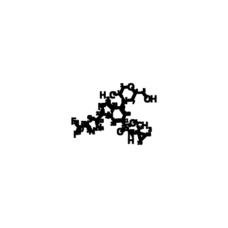 C[C@H]1CO[C@@H](CO)CN1c1cc(S(=O)(=O)NC2(C)CC2)cn2c(-c3nnc(C(F)F)s3)ncc12